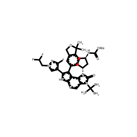 BC(B)(B)n1c(=O)n([C@@H]2CC[C@@H](NC(=O)OC)C2)c2c3c(-c4ccc5c(c4)COC5(C)C)c(-c4cn(CC(F)F)nc4F)[nH]c3ncc21